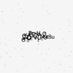 CC(C)(C)OC(=O)N1CCN2C[C@H](c3ccc4c(c3Br)COC4=O)OC[C@@H]2C1